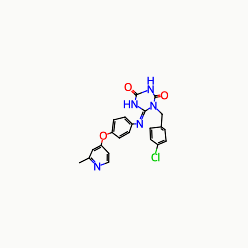 Cc1cc(Oc2ccc(/N=c3\[nH]c(=O)[nH]c(=O)n3Cc3ccc(Cl)cc3)cc2)ccn1